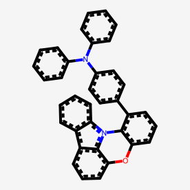 c1ccc(N(c2ccccc2)c2ccc(-c3cccc4c3-n3c5ccccc5c5cccc(c53)O4)cc2)cc1